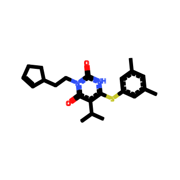 Cc1cc(C)cc(Sc2[nH]c(=O)n(CCC3C=CCC3)c(=O)c2C(C)C)c1